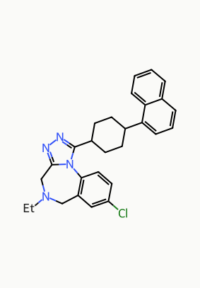 CCN1Cc2cc(Cl)ccc2-n2c(nnc2C2CCC(c3cccc4ccccc34)CC2)C1